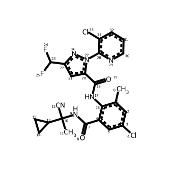 Cc1cc(Cl)cc(C(=O)NC(C)(C#N)C2CC2)c1NC(=O)c1cc(C(F)F)nn1-c1ncccc1Cl